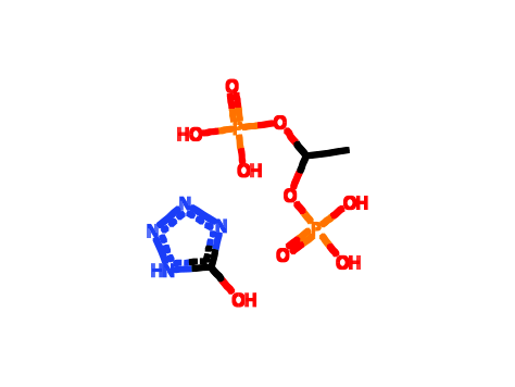 CC(OP(=O)(O)O)OP(=O)(O)O.Oc1nnn[nH]1